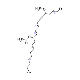 CC/C=C/CC(C#C/C=C/C=C/C(C/C=C/C/C=C/CCC(C)=O)OPP)OP